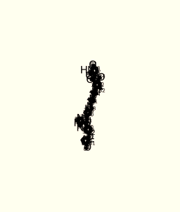 COc1cccc(Oc2ccc(-c3nn(C4CC5CN(C6CN(C7CN(c8cc9c(cc8F)C(=O)N(C8CCC(=O)NC8=O)C9=O)C7)C6)CC5C4)c4ncnc(N)c34)cc2)c1F